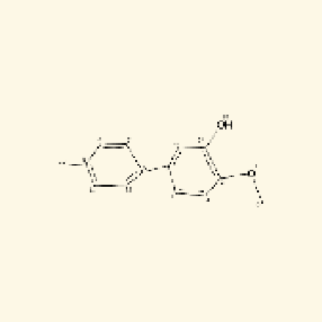 COc1ccc(-c2ccc(C)cc2)cc1O